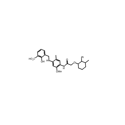 COc1cc(NCc2cccc(C(=O)O)c2O)c(C)cc1NC(=O)COC1CCCC(C)C1C(C)C